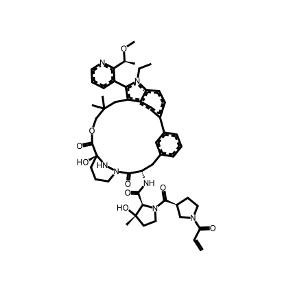 C=CC(=O)N1CC[C@H](C(=O)N2CC[C@](C)(O)[C@H]2C(=O)N[C@H]2Cc3cccc(c3)-c3ccc4c(c3)c(c(-c3cccnc3[C@H](C)OC)n4CC)CC(C)(C)COC(=O)[C@@]3(O)CCCN(N3)C2=O)C1